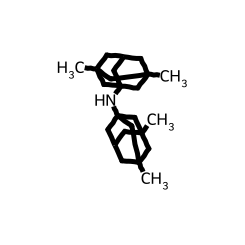 CC12CC3CC(C)(C1)CC(NC14CC5CC(C)(CC(C)(C5)C1)C4)(C3)C2